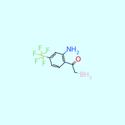 BCC(=O)c1ccc(S(F)(F)(F)(F)F)cc1N